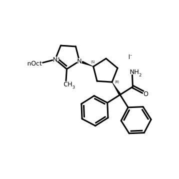 CCCCCCCC[N+]1=C(C)N([C@H]2CC[C@@H](C(C(N)=O)(c3ccccc3)c3ccccc3)C2)CC1.[I-]